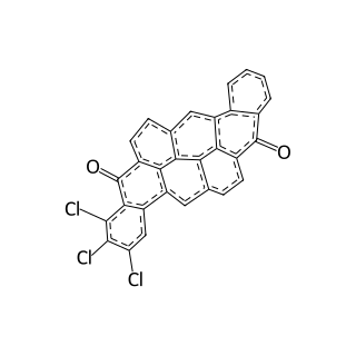 O=c1c2ccccc2c2cc3ccc4c(=O)c5c(Cl)c(Cl)c(Cl)cc5c5cc6ccc1c2c6c3c45